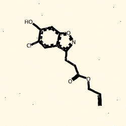 C=CCOC(=O)CCc1noc2cc(O)c(Cl)cc12